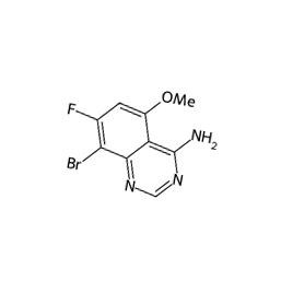 COc1cc(F)c(Br)c2ncnc(N)c12